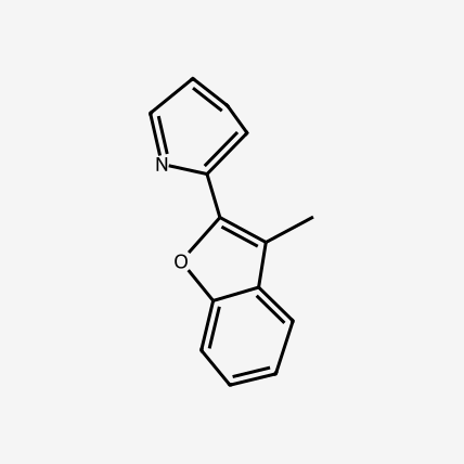 Cc1c(-c2ccccn2)oc2ccccc12